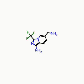 NCc1ccc2c(N)nc(C(F)(F)F)n2c1